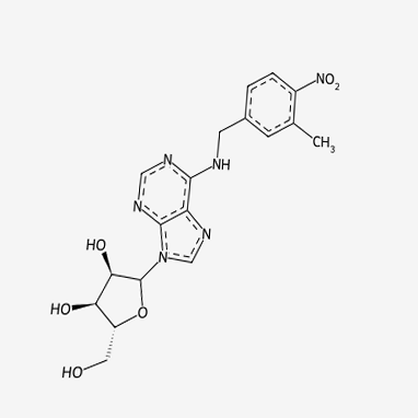 Cc1cc(CNc2ncnc3c2ncn3C2O[C@H](CO)[C@@H](O)[C@H]2O)ccc1[N+](=O)[O-]